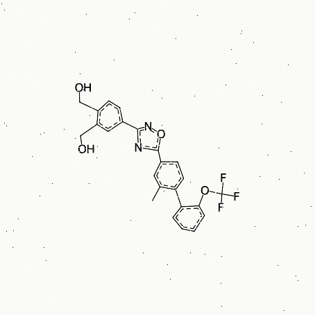 Cc1cc(-c2nc(-c3ccc(CO)c(CO)c3)no2)ccc1-c1ccccc1OC(F)(F)F